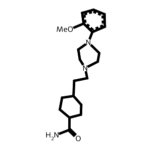 COc1ccccc1N1CCN(CCC2CCC(C(N)=O)CC2)CC1